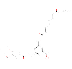 CCCCCCCCCOC(=O)CCCCCCC(=O)OCc1cc(CO)cc(COC(=O)CCC(OCCCCCCCC)OCCCCCCCC)c1